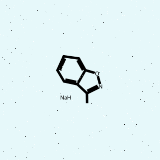 Cc1noc2ccccc12.[NaH]